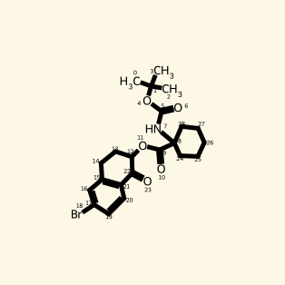 CC(C)(C)OC(=O)NC1(C(=O)OC2CCc3cc(Br)ccc3C2=O)CCCCC1